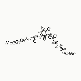 COCCOCCOCC(=O)OCn1cc(F)c(=O)n(COC(=O)COCCOCCOC)c1=O